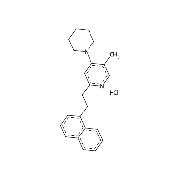 Cc1cnc(CCc2cccc3ccccc23)cc1N1CCCCC1.Cl